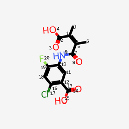 CC(C(=O)O)=C(C)C(=O)Nc1cc(C(=O)O)c(Cl)cc1F